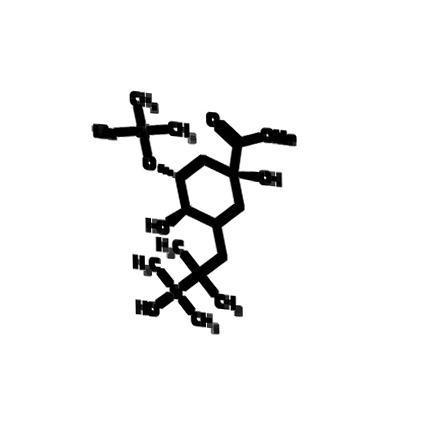 COC(=O)[C@]1(O)CC(CC(C)(C)[Si](C)(C)O)[C@@H](O)[C@H](O[Si](C)(C)C(C)(C)C)C1